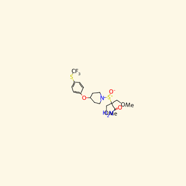 COCC(COC)(C(N)=O)[S+]([O-])N1CCC(Oc2ccc(SC(F)(F)F)cc2)CC1